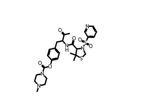 CC(=O)C(Cc1ccc(OC(=O)N2CCN(C)CC2)cc1)NC(=O)C1N(S(=O)(=O)c2cccnc2)CSC1(C)C